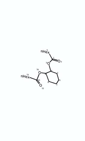 CCCCCCC(=O)OC1CCCCC1OC(=O)CCCCCC